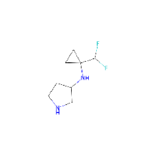 FC(F)C1(NC2CCNC2)CC1